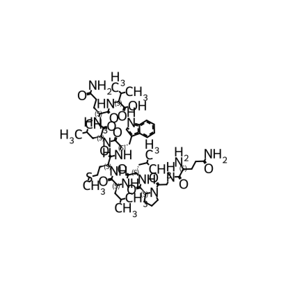 CSCC[C@H](NC(=O)[C@H](CC(C)C)NC(=O)[C@H](CC(C)C)NC(=O)[C@@H]1CCCN1C(=O)CNC(=O)[C@@H](N)CCC(N)=O)C(=O)N[C@@H](Cc1c[nH]c2ccccc12)C(=O)N[C@@H](CC(C)C)C(=O)N[C@@H](CCC(N)=O)C(=O)N[C@H](C(=O)O)C(C)C